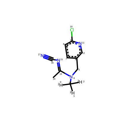 [2H]C([2H])([2H])N(Cc1ccc(Cl)nc1)C(C)=NC#N